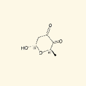 C[C@H]1O[C@H](O)CC(=O)C1=O